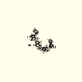 CC(CC1CCN(c2cc(Cl)c(Cl)c(C(=O)Nc3cc(Cl)cc(-c4cccnc4)c3)c2)S1(=O)=O)c1cc(Cl)cc(NC(=O)c2cc(N3CCCS3(=O)=O)cc(Cl)c2Cl)c1